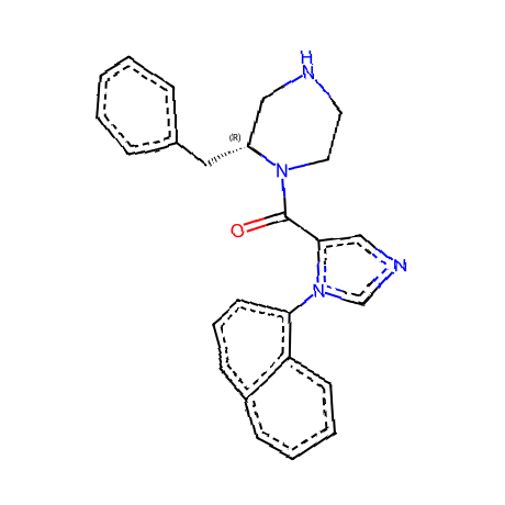 O=C(c1cncn1-c1cccc2ccccc12)N1CCNC[C@H]1Cc1ccccc1